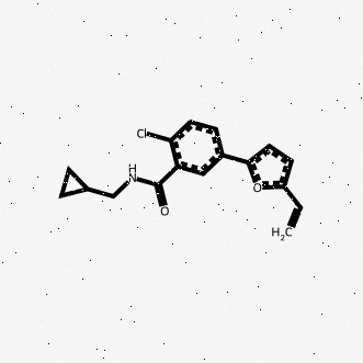 C=Cc1ccc(-c2ccc(Cl)c(C(=O)NCC3CC3)c2)o1